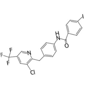 O=C(Nc1ccc(Cc2ncc(C(F)(F)F)cc2Cl)cc1)c1ccc(I)cc1